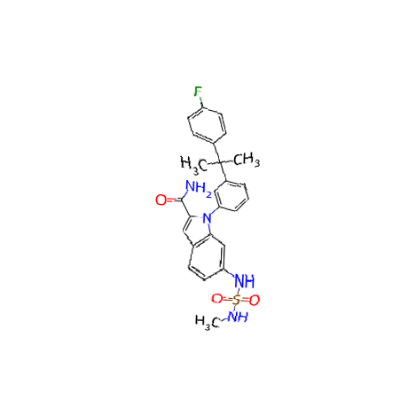 CNS(=O)(=O)Nc1ccc2cc(C(N)=O)n(-c3cccc(C(C)(C)c4ccc(F)cc4)c3)c2c1